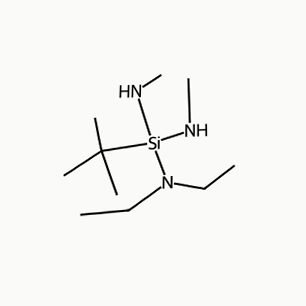 CCN(CC)[Si](NC)(NC)C(C)(C)C